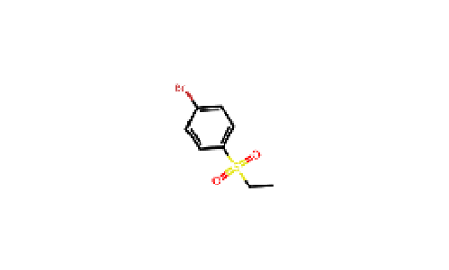 CCS(=O)(=O)c1ccc(Br)cc1